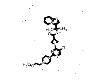 COCCN1CCN(c2ncc(Cl)c(N3CC(C(=O)NC(C)(C)c4cnc5ccccn45)C3)n2)CC1